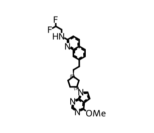 COc1ncnc2c1ccn2[C@H]1CC[C@@H](CCc2ccc3ccc(NCC(F)F)nc3c2)C1